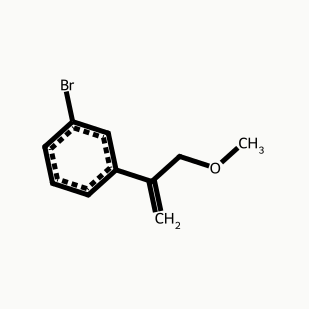 C=C(COC)c1cccc(Br)c1